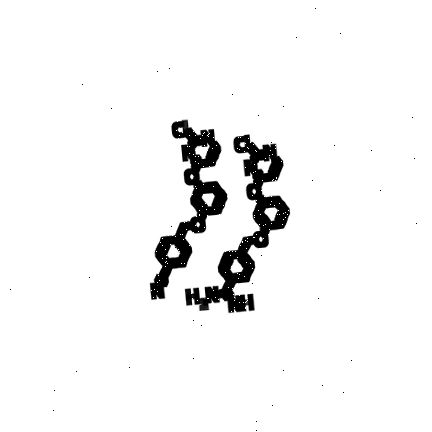 N#Cc1ccc(COc2cccc(Oc3ccnc(Cl)n3)c2)cc1.N=C(N)c1ccc(COc2cccc(Oc3ccnc(Cl)n3)c2)cc1